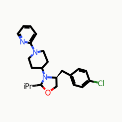 CC(C)C1OC[C@H](Cc2ccc(Cl)cc2)N1C1CCN(c2ccccn2)CC1